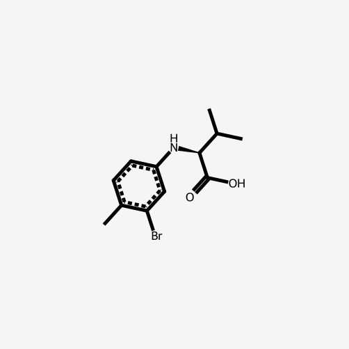 Cc1ccc(N[C@H](C(=O)O)C(C)C)cc1Br